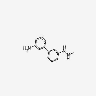 CNNc1cccc(-c2cccc(N)c2)c1